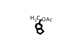 CC(=O)OC(C)c1ccc2c(c1)CCC2